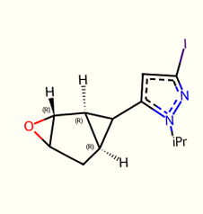 CC(C)n1nc(I)cc1C1[C@H]2[C@@H]1CC1O[C@@H]12